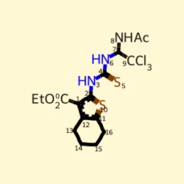 CCOC(=O)c1c(NC(=S)NC(NC(C)=O)C(Cl)(Cl)Cl)sc2c1CCCC2